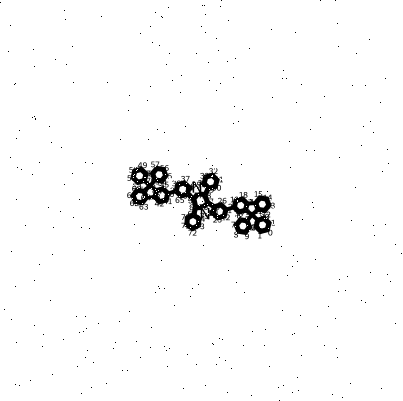 c1ccc(C2(c3ccccc3)c3ccccc3-c3ccc(-c4ccc5c(c4)c4c6c7ccccc7n7c8ccc(-c9ccc%10c(c9)C(c9ccccc9)(c9ccccc9)c9ccccc9-%10)cc8c(c8c9ccccc9n5c84)c67)cc32)cc1